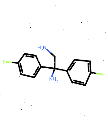 NCC(N)(c1ccc(F)cc1)c1ccc(F)cc1